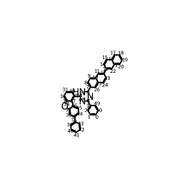 c1ccc(C2=NC(c3ccc4cc(-c5ccc6ccccc6c5)ccc4c3)NC(c3cccc4oc5cc(-c6ccccc6)ccc5c34)=N2)cc1